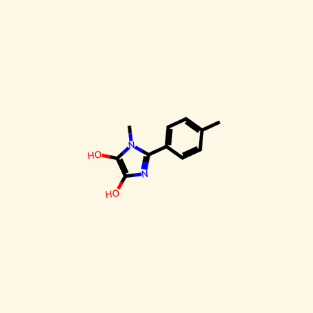 Cc1ccc(-c2nc(O)c(O)n2C)cc1